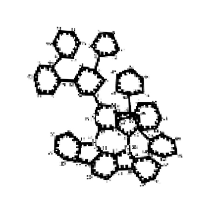 c1ccc(-c2cc(-c3nc(-c4ccccc4)nc(-n4c5ccccc5c5ccc6c7ccccc7n(-c7ccc(-c8ccccc8)cc7-c7ccccc7)c6c54)n3)cc(-c3ccccc3-c3ccccc3)c2)cc1